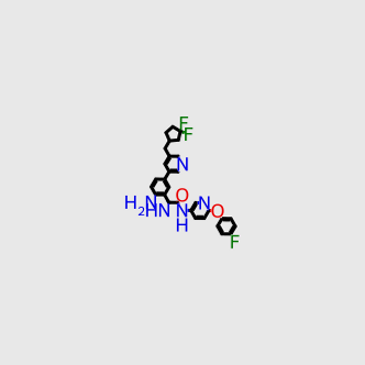 N=C(C(=O)Nc1ccc(Oc2ccc(F)cc2)nc1)c1cc(-c2cncc(CC3CCC(F)(F)C3)c2)ccc1N